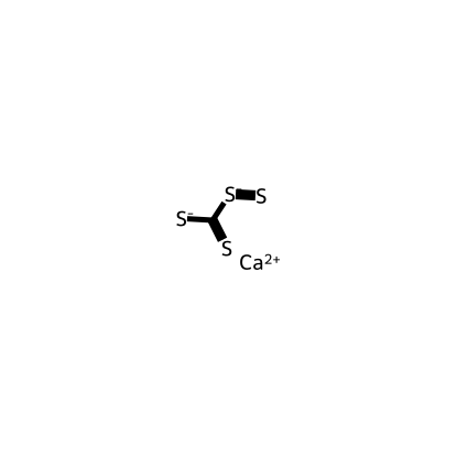 S=[S-]C(=S)[S-].[Ca+2]